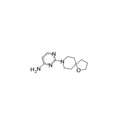 Nc1ccnc(N2CCC3(CCCO3)CC2)n1